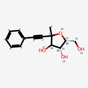 CC1(C#Cc2ccccc2)O[C@H](CO)[C@H](O)C1O